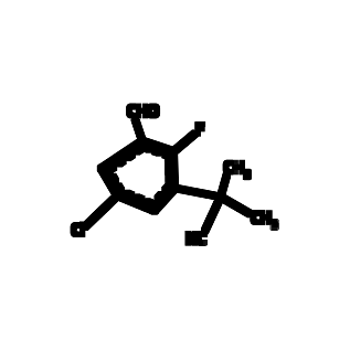 CC(C)(C#N)c1cc(Cl)cc(C=O)c1F